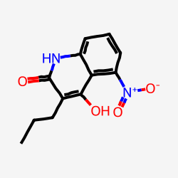 CCCc1c(O)c2c([N+](=O)[O-])cccc2[nH]c1=O